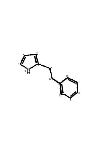 [c]1cc[nH]c1CCc1ccccc1